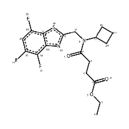 CCOC(=O)CCC(=O)N(Cc1nc2c(F)c(F)cc(F)c2s1)C1CCC1